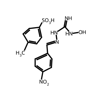 Cc1ccc(S(=O)(=O)O)cc1.N=C(NO)NN=Cc1ccc([N+](=O)[O-])cc1